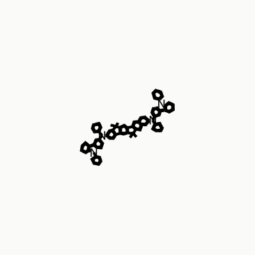 CC1(C)c2cc(N(c3ccccc3)c3ccc4c(c3)c3ccccc3n4-c3ccccc3)ccc2-c2cc3c(cc21)-c1cc2ccc(N(c4ccccc4)c4ccc5c(c4)c4ccccc4n5-c4ccccc4)cc2cc1C3(C)C